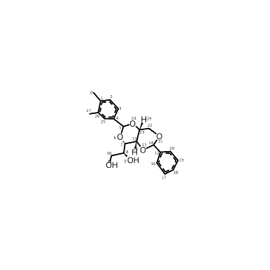 Cc1ccc(C2O[C@@H]([C@@H](O)CO)[C@H]3OC(c4ccccc4)OC[C@H]3O2)cc1C